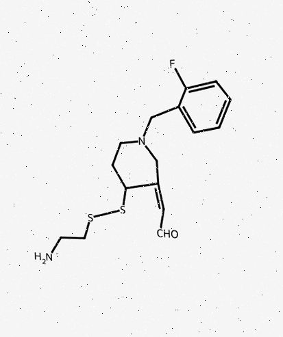 NCCSSC1CCN(Cc2ccccc2F)C/C1=C/C=O